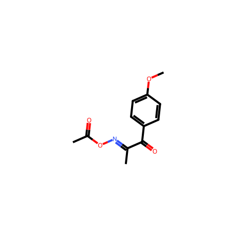 COc1ccc(C(=O)C(C)=NOC(C)=O)cc1